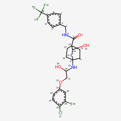 O=C(NCc1ccc(C(F)(F)F)cc1)C12CCC(NC(O)COc3ccc(Cl)c(F)c3)(CC1)CC2O